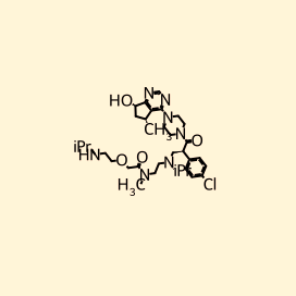 CC(C)NCCOCC(=O)N(C)CCN(C[C@@H](C(=O)N1CCN(c2ncnc3c2[C@H](C)C[C@H]3O)CC1)c1ccc(Cl)cc1)C(C)C